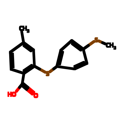 CSc1ccc(Sc2cc(C)ccc2C(=O)O)cc1